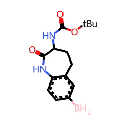 Bc1ccc2c(c1)CCC(NC(=O)OC(C)(C)C)C(=O)N2